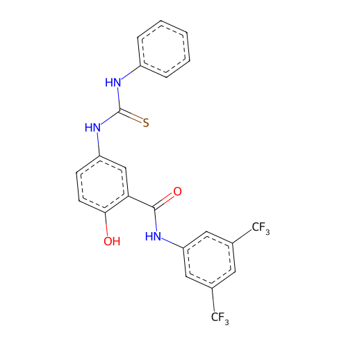 O=C(Nc1cc(C(F)(F)F)cc(C(F)(F)F)c1)c1cc(NC(=S)Nc2ccccc2)ccc1O